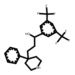 OC(CCC1(c2ccccc2)CCNCC1)c1cc(C(F)(F)F)cc(C(F)(F)F)c1